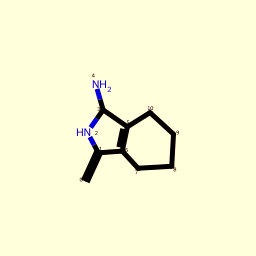 C=C1NC(N)C2=C1CCCC2